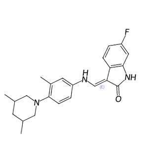 Cc1cc(N/C=C2/C(=O)Nc3cc(F)ccc32)ccc1N1CC(C)CC(C)C1